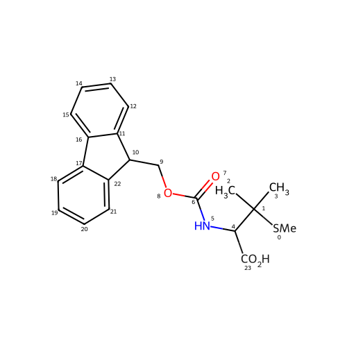 CSC(C)(C)C(NC(=O)OCC1c2ccccc2-c2ccccc21)C(=O)O